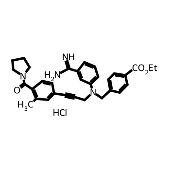 CCOC(=O)c1ccc(CN(CC#Cc2ccc(C(=O)N3CCCC3)c(C)c2)c2cccc(C(=N)N)c2)cc1.Cl